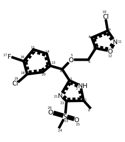 Cc1[nH]c(C(OCc2cc(Cl)no2)c2ccc(F)c(Cl)c2)nc1S(C)(=O)=O